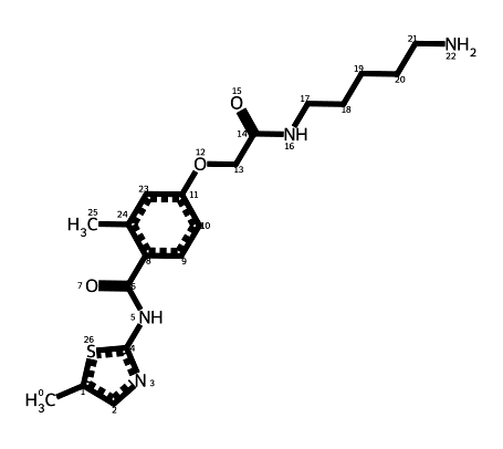 Cc1cnc(NC(=O)c2ccc(OCC(=O)NCCCCCN)cc2C)s1